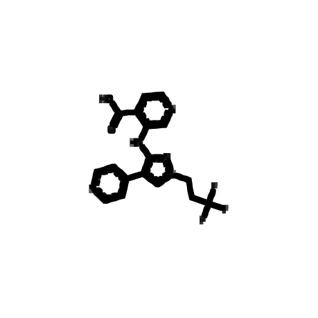 O=C(O)c1ccncc1Nc1nn(CCC(F)(F)F)cc1-c1ccncc1